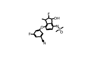 CC1c2c(Oc3cc(F)cc(C#N)c3)ccc(N=S(C)(C)=O)c2C(O)C1F